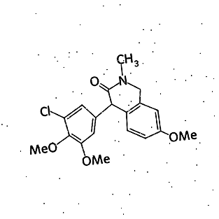 COc1ccc2c(c1)CN(C)C(=O)C2c1cc(Cl)c(OC)c(OC)c1